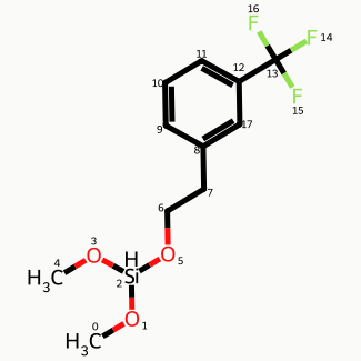 CO[SiH](OC)OCCc1cccc(C(F)(F)F)c1